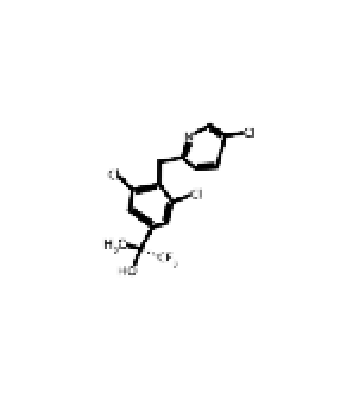 C[C@](O)(c1[c]c(Cl)c(Cc2ccc(Cl)cn2)c(Cl)c1)C(F)(F)F